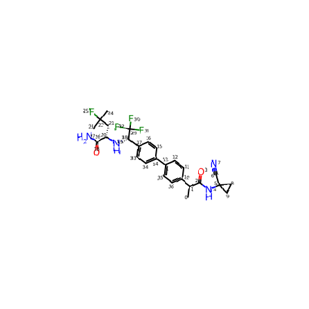 CC(C(=O)NC1(C#N)CC1)c1ccc(-c2ccc([C@H](N[C@@H](CC(C)(C)F)C(N)=O)C(F)(F)F)cc2)cc1